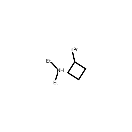 CCCC1CCC1.CCNCC